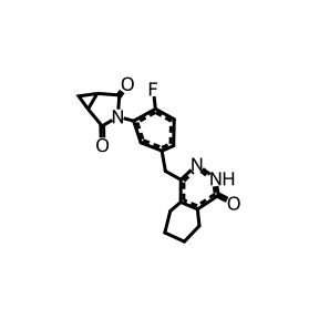 O=C1C2CC2C(=O)N1c1cc(Cc2n[nH]c(=O)c3c2CCCC3)ccc1F